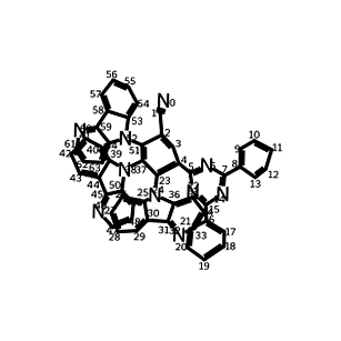 N#Cc1cc(-c2nc(-c3ccccc3)nc(-c3ccccc3)n2)c(-n2c3ccccc3c3ncccc32)c(-n2c3ccccc3c3ncccc32)c1-n1c2ccccc2c2ncccc21